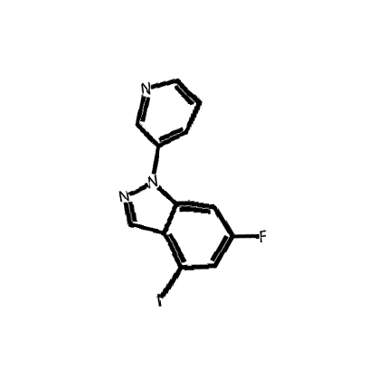 Fc1cc(I)c2cnn(-c3cccnc3)c2c1